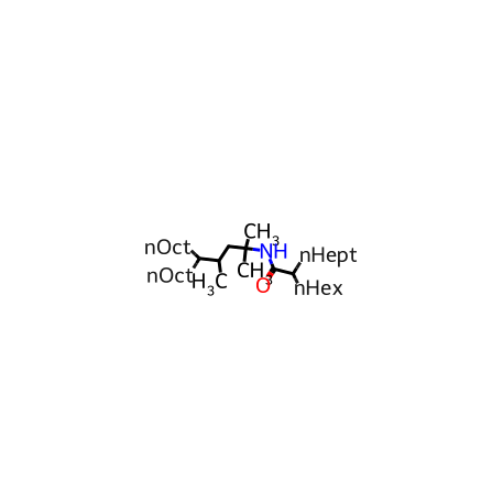 CCCCCCCCC(CCCCCCCC)C(C)CC(C)(C)NC(=O)C(CCCCCC)CCCCCCC